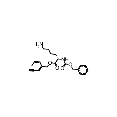 C#C/C=C(\C=C/C)COC(=O)[C@H](CCCCN)NC(=O)OCc1ccccc1